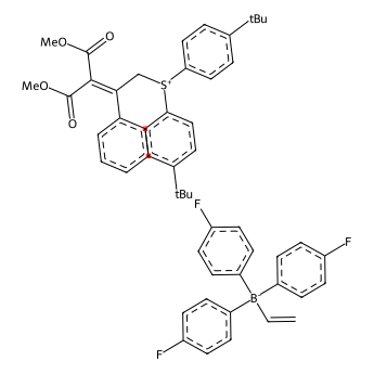 C=C[B-](c1ccc(F)cc1)(c1ccc(F)cc1)c1ccc(F)cc1.COC(=O)C(C(=O)OC)=C(C[S+](c1ccc(C(C)(C)C)cc1)c1ccc(C(C)(C)C)cc1)c1ccccc1